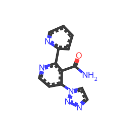 NC(=O)c1c(-n2ccnn2)ccnc1-c1ccccn1